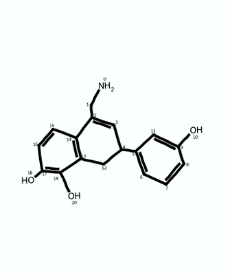 NCC1=CC(c2cccc(O)c2)Cc2c1ccc(O)c2O